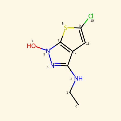 CCNc1nn(O)c2sc(Cl)cc12